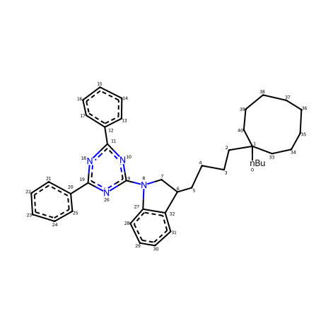 CCCCC1(CCCCC2CN(c3nc(-c4ccccc4)nc(-c4ccccc4)n3)c3ccccc32)CCCCCCCC1